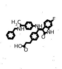 CC(NCc1ccccc1)c1ccc(NC(=C2C(=O)Nc3cc(F)ccc32)c2ccc(CCC(=O)O)cc2)cc1